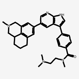 CN(C)CCN(C)C(=O)c1ccc(-c2c[nH]c3ncc(-c4cc5c6c(c4)CN(C)CC6CCC5)cc23)cc1